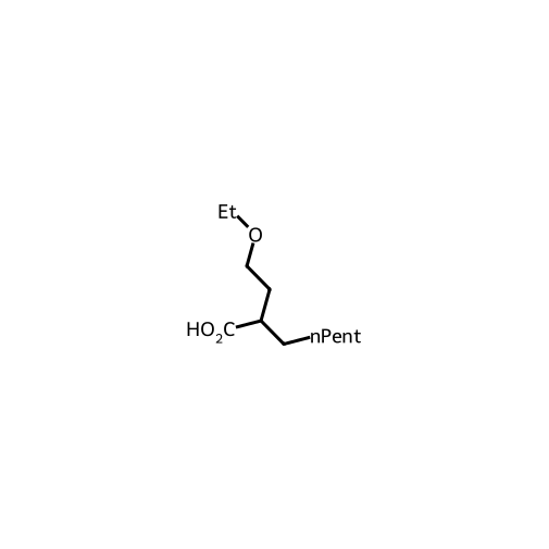 CCCCCCC(CCOCC)C(=O)O